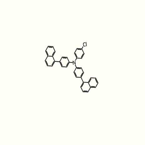 Clc1ccc(N(c2ccc(-c3cccc4ccccc34)cc2)c2ccc(-c3cccc4ccccc34)cc2)cc1